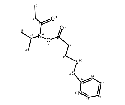 CCC(=O)N(OC(=O)CCSSc1ccccn1)C(C)C